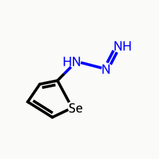 N=NNc1ccc[se]1